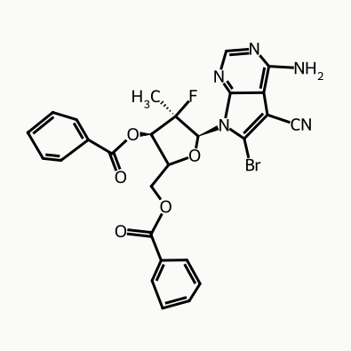 C[C@@]1(F)[C@H](OC(=O)c2ccccc2)C(COC(=O)c2ccccc2)O[C@@H]1n1c(Br)c(C#N)c2c(N)ncnc21